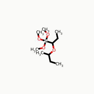 CCC(C)OC(CC)[Si](OC)(OC)OC